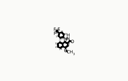 COc1cc2c(=O)[nH]n(-c3ccc(C(F)(F)F)cc3)c2c2ccccc12